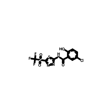 O=C(Nc1nnc(S(=O)(=O)C(F)(F)F)s1)c1cc(Cl)ccc1O